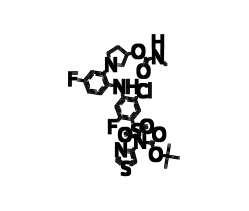 CNC(=O)OC1CCN(c2cc(F)ccc2Nc2cc(F)c(S(=O)(=O)N(C(=O)OC(C)(C)C)c3cscn3)cc2Cl)C1